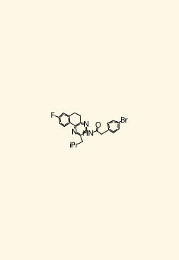 CC(C)Cc1nc2c(nc1NC(=O)Cc1ccc(Br)cc1)CCc1cc(F)ccc1-2